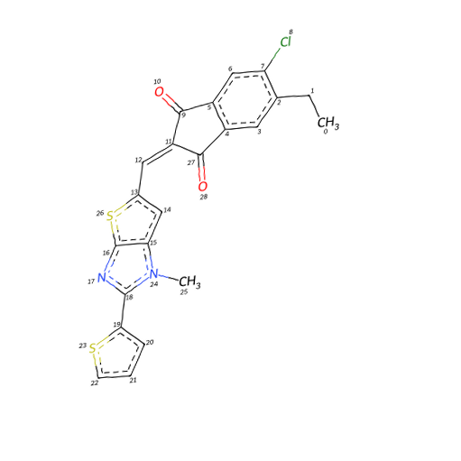 CCc1cc2c(cc1Cl)C(=O)/C(=C/c1cc3c(nc(-c4cccs4)n3C)s1)C2=O